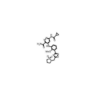 COc1c(Nc2cc(NC(=O)C3CC3)nnc2C(N)=O)cccc1-c1noc(CN2CCCS2(=O)=O)n1